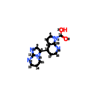 O=C(O)n1ccc2c(-c3cnc4ncccn34)ccnc21